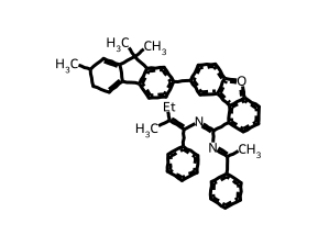 CC\C(C)=C(/N=C(\N=C(/C)c1ccccc1)c1cccc2oc3ccc(-c4ccc5c(c4)C(C)(C)C4=CC(C)CC=C45)cc3c12)c1ccccc1